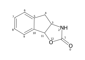 O=C1NC2Cc3ccccc3C2O1